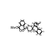 COC(=O)c1ccccc1C(=O)N1CCC2(CC1)Oc1ccccc1-c1c2cnn1C